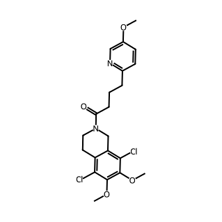 COc1ccc(CCCC(=O)N2CCc3c(Cl)c(OC)c(OC)c(Cl)c3C2)nc1